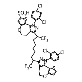 O=S(=O)(O)c1cc2c(s1)-c1c(c(C(CCCCCC(c3nn(-c4ccc(Cl)cc4Cl)c4c3CCOc3ccsc3-4)C(F)(F)F)C(F)(F)F)nn1-c1ccc(Cl)cc1Cl)CCO2